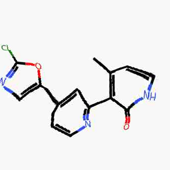 Cc1cc[nH]c(=O)c1-c1cc(-c2cnc(Cl)o2)ccn1